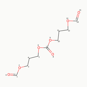 O=COCCCOC(=O)OCCCOC=O